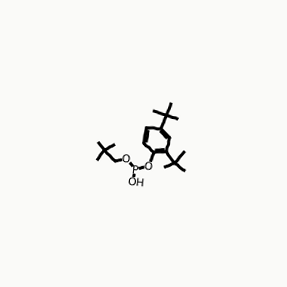 CC(C)(C)COP(O)Oc1ccc(C(C)(C)C)cc1C(C)(C)C